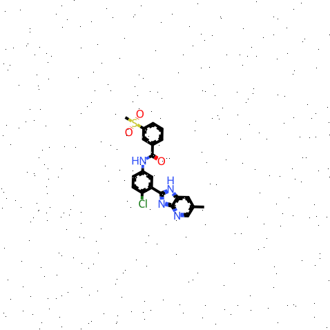 Cc1cnc2nc(-c3cc(NC(=O)c4cccc(S(C)(=O)=O)c4)ccc3Cl)[nH]c2c1